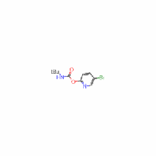 CC(C)(C)NC(=O)Oc1ccc(Br)cn1